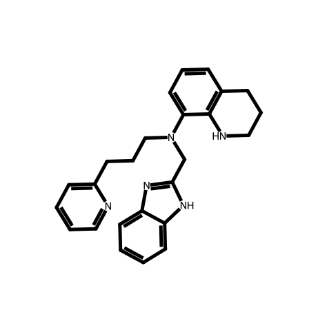 c1ccc(CCCN(Cc2nc3ccccc3[nH]2)c2cccc3c2NCCC3)nc1